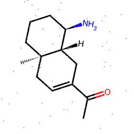 CC(=O)C1=CC[C@@]2(C)CCC[C@@H](N)[C@@H]2C1